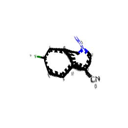 N#Cc1c[nH]c2cc(F)ccc12